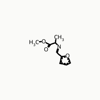 COC(=O)C(C)N=Cc1ccco1